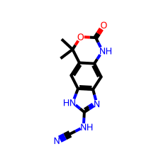 CC1(C)OC(=O)Nc2cc3nc(NC#N)[nH]c3cc21